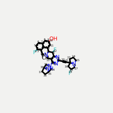 C#Cc1c(F)ccc2cc(O)cc(C3N=Cc4c(nc(C#CC56CCCN5C[C@H](F)C6)nc4N4CC5CCC(C4)N5)C3F)c12